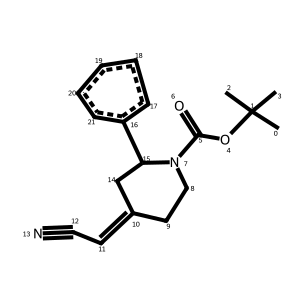 CC(C)(C)OC(=O)N1CCC(=CC#N)CC1c1ccccc1